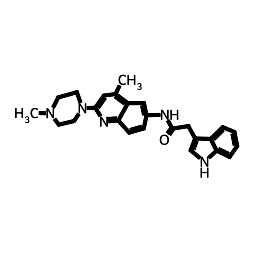 Cc1cc(N2CCN(C)CC2)nc2ccc(NC(=O)Cc3c[nH]c4ccccc34)cc12